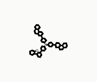 C1=CC2C=Cc3cc(-c4ccc(N(c5ccc(-c6ccc7c(ccc8ccccc87)c6)cc5)c5ccc(-c6cccc7c6oc6ccccc67)cc5)cc4)ccc3C2C=C1